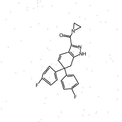 O=C(c1n[nH]c2c1C=CC(c1ccc(F)cc1)(c1ccc(F)cc1)C2)N1CC1